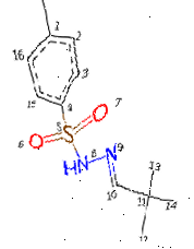 Cc1ccc(S(=O)(=O)N/N=C/C(C)(C)C)cc1